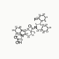 CC1(C(=O)N(CCc2ccccc2F)Cc2ccccc2)CCc2c(c3ccccc3n2CC(=O)O)C1